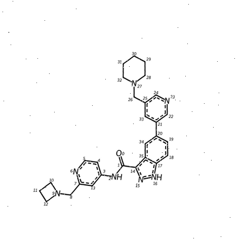 O=C(Nc1ccnc(CN2CCC2)c1)c1n[nH]c2ccc(-c3cncc(CN4CCCCC4)c3)cc12